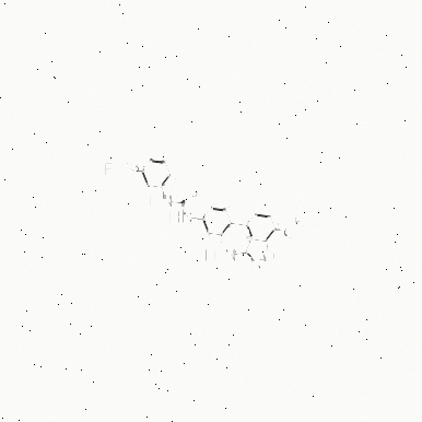 Nc1noc2c(OC(F)(F)F)ccc(-c3ccc(NC(=O)Nc4cccc(C(F)(F)F)c4)cc3)c12